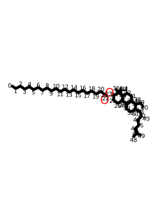 CCCCCCCCCCCCCCCCCCCCCC(=O)O[C@H]1CC[C@]2(C)C3=C(CC[C@H]2C1(C)C)[C@]1(C)CC[C@H]([C@H](C)CCC=C(C)C)[C@@]1(C)CC3